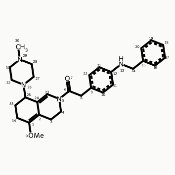 COC1=C2CCN(C(=O)Cc3ccc(NCc4ccccc4)cc3)C=C2C(N2CCN(C)CC2)CC1